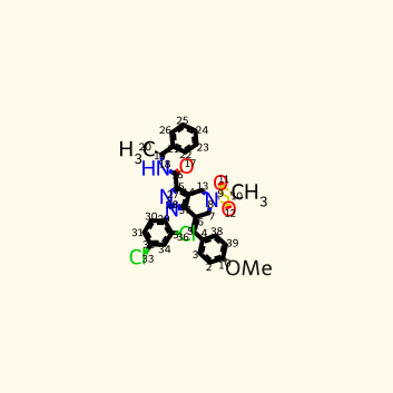 COc1ccc(/C=C2\CN(S(C)(=O)=O)Cc3c(C(=O)N[C@H](C)c4ccccc4)nn(-c4ccc(Cl)cc4Cl)c32)cc1